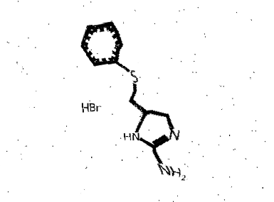 Br.NC1=NCC(CSc2ccccc2)N1